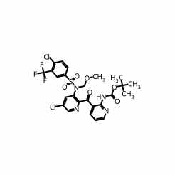 COCN(c1cc(Cl)cnc1C(=O)c1cccnc1NC(=O)OC(C)(C)C)S(=O)(=O)c1ccc(Cl)c(C(F)(F)F)c1